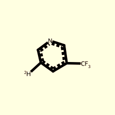 [2H]c1cncc(C(F)(F)F)c1